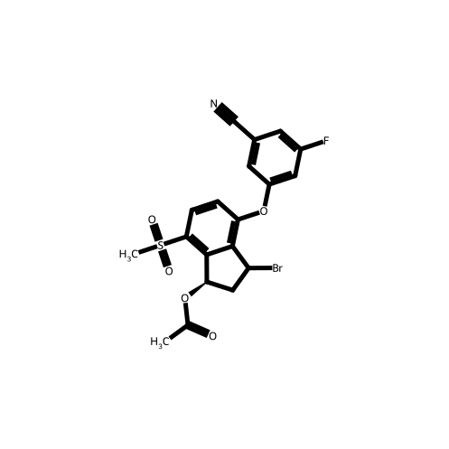 CC(=O)O[C@@H]1CC(Br)c2c(Oc3cc(F)cc(C#N)c3)ccc(S(C)(=O)=O)c21